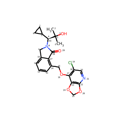 CC(C)(O)[C@H](C1CC1)N1Cc2cccc(COc3c(Cl)cnc4c3OCO4)c2C1=O